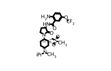 CC(C)N(C)[C@@H]1CC[C@H](N2CC[C@H](NC(=O)c3cc(OC(F)(F)F)ccc3N)C2=O)[C@H](CS(C)(=O)=O)C1